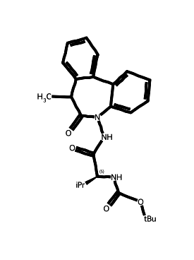 CC1C(=O)N(NC(=O)[C@@H](NC(=O)OC(C)(C)C)C(C)C)c2ccccc2-c2ccccc21